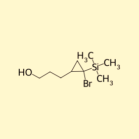 C[Si](C)(C)C1(Br)CC1CCCO